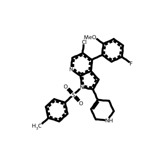 COc1ccc(F)cc1-c1c(Cl)cnc2c1cc(C1=CCNCC1)n2S(=O)(=O)c1ccc(C)cc1